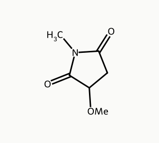 COC1CC(=O)N(C)C1=O